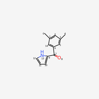 Cc1cc(C)cc(C(=O)c2ccc[nH]2)c1